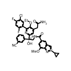 CCOc1c(CC(N)=O)cc([C@@](O)(CNC(=O)c2cc(OC)c3nn(C4CC4)cc3c2)c2cccc(C#N)c2)nc1-c1cc(Cl)c(F)cc1F